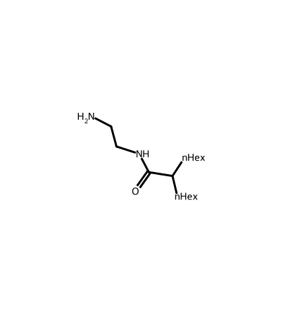 CCCCCCC(CCCCCC)C(=O)NCCN